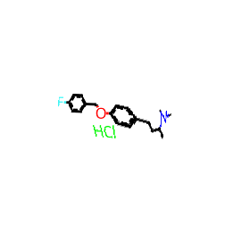 CC(CCc1ccc(OCc2ccc(F)cc2)cc1)N(C)C.Cl